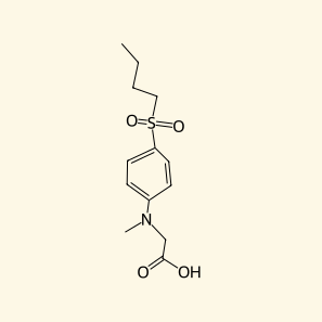 CCCCS(=O)(=O)c1ccc(N(C)CC(=O)O)cc1